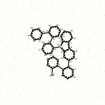 Brc1ccccc1-c1ccccc1-c1ccc2c3ccccc3n(-c3ccccc3-c3ccccc3-c3ccccc3)c2c1